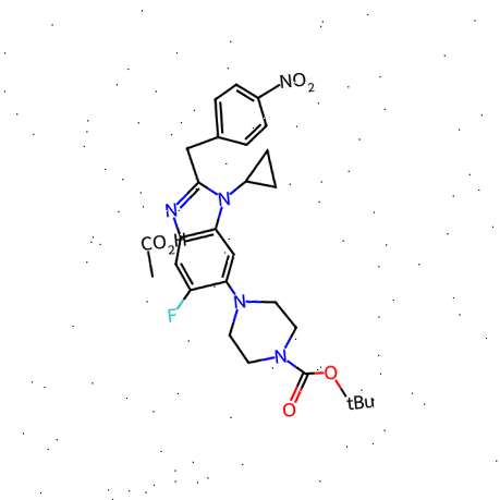 CC(=O)O.CC(C)(C)OC(=O)N1CCN(c2cc3c(cc2F)nc(Cc2ccc([N+](=O)[O-])cc2)n3C2CC2)CC1